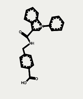 O=C(O)c1ccc(CNC(=O)c2cn(-c3ccccc3)c3ccccc23)cc1